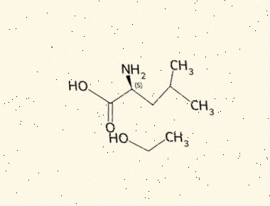 CC(C)C[C@H](N)C(=O)O.CCO